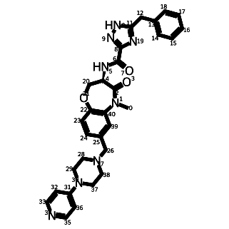 CN1C(=O)[C@H](NC(=O)c2n[nH]c(Cc3ccccc3)n2)COc2ccc(CN3CCN(c4ccncc4)CC3)cc21